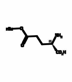 CCCCOC(=O)CC[C@H](N)C(=O)O